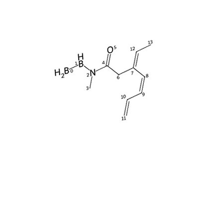 BBN(C)C(=O)CC(/C=C\C=C)=C/C